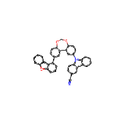 N#Cc1ccc2c(c1)c1ccccc1n2-c1ccc2c(c1)-c1cc(-c3cccc4oc5ccccc5c34)ccc1OCO2